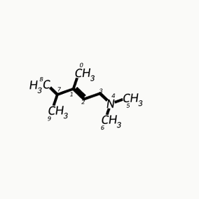 C/C(=C\CN(C)C)C(C)C